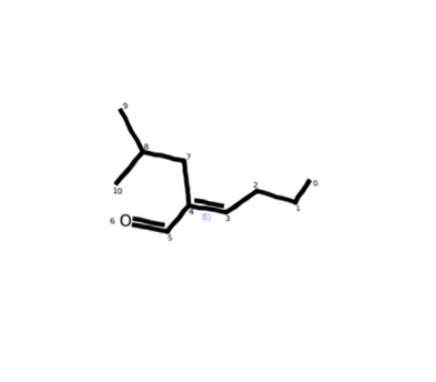 CCC/C=C(/C=O)CC(C)C